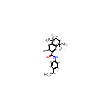 CC(C)c1cc2c(cc1C(=O)Nc1ccc(CC(=O)O)cc1)C(C)(C)CCC2(C)C